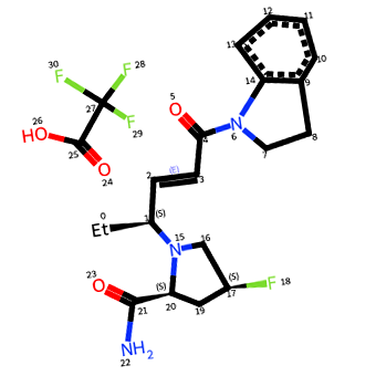 CC[C@@H](/C=C/C(=O)N1CCc2ccccc21)N1C[C@@H](F)C[C@H]1C(N)=O.O=C(O)C(F)(F)F